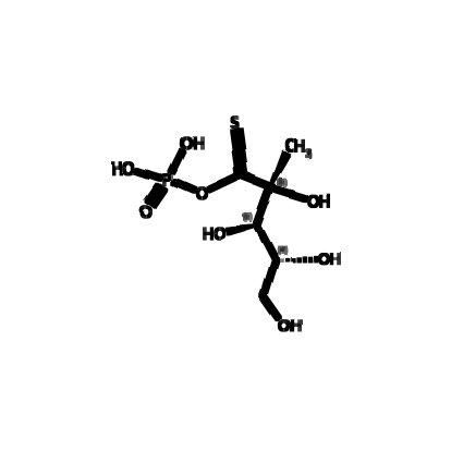 C[C@](O)(C(=S)OP(=O)(O)O)[C@H](O)[C@H](O)CO